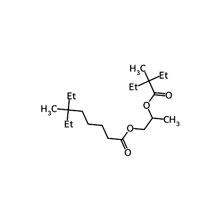 CCC(C)(CC)CCCCC(=O)OCC(C)OC(=O)C(C)(CC)CC